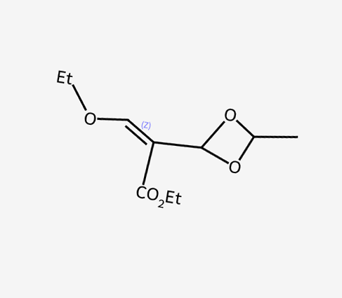 CCO/C=C(\C(=O)OCC)C1OC(C)O1